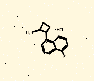 Cl.NC1CCC1c1cccc2c(F)cccc12